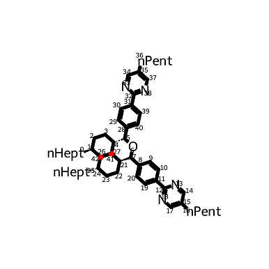 CCCCCCC[C@H]1CC[C@H](C(OC(c2ccc(-c3ncc(CCCCC)cn3)cc2)[C@H]2CC[C@H](CCCCCCC)CC2)c2ccc(-c3ncc(CCCCC)cn3)cc2)CC1